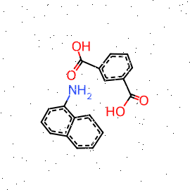 Nc1cccc2ccccc12.O=C(O)c1cccc(C(=O)O)c1